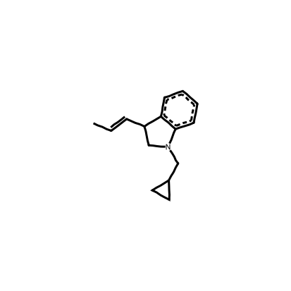 C/C=C/C1CN(CC2CC2)c2ccccc21